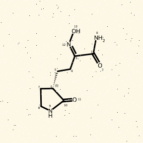 NC(=O)C(CC[C@H]1CCNC1=O)=NO